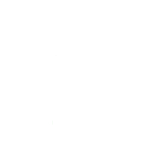 Fc1ccc(C2(C3CC[SiH](Cl)CC3)CCCCC2)cc1